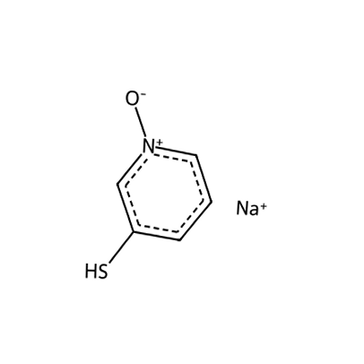 [Na+].[O-][n+]1cccc(S)c1